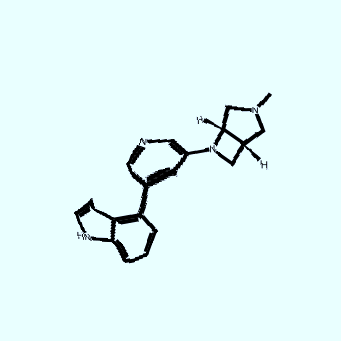 CN1C[C@@H]2CN(c3cncc(-c4cccc5[nH]ccc45)c3)[C@@H]2C1